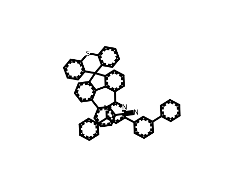 N#Cc1cccc(-c2cccc3c2-c2c(-c4nc(-c5ccccc5)cc(-c5cccc(-c6ccccc6)c5)n4)cccc2C32c3ccccc3Sc3ccccc32)c1